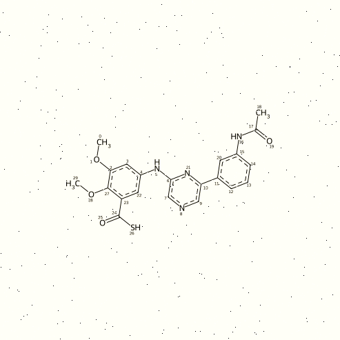 COc1cc(Nc2cncc(-c3cccc(NC(C)=O)c3)n2)cc(C(=O)S)c1OC